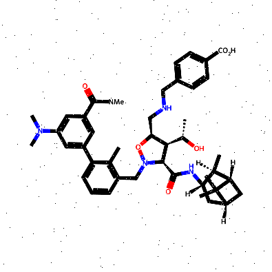 CNC(=O)c1cc(-c2cccc(CN3O[C@@H](CNCc4ccc(C(=O)O)cc4)[C@@H]([C@H](C)O)[C@H]3C(=O)N[C@H]3C[C@H]4C[C@@H]([C@@H]3C)C4(C)C)c2C)cc(N(C)C)c1